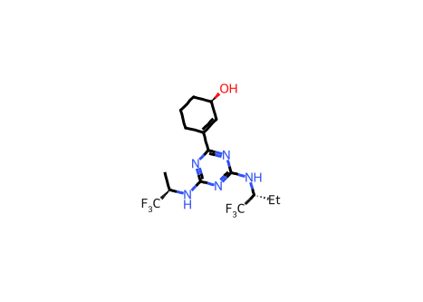 CC[C@@H](Nc1nc(N[C@H](C)C(F)(F)F)nc(C2=C[C@H](O)CCC2)n1)C(F)(F)F